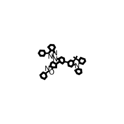 CC1(C)c2ccccc2N(c2ccccc2)c2ccc(-c3ccc4c(c3)c3cc5oc(-c6ccccc6)nc5cc3n4-c3nc(-c4ccccc4)c4ccccc4n3)cc21